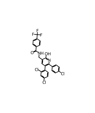 O=C(NCc1cc(-c2ccc(Cl)cc2Cl)c(-c2ccc(Cl)cc2)nc1O)c1ccc(C(F)(F)F)cc1